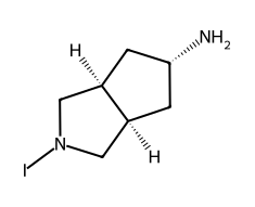 N[C@H]1C[C@@H]2CN(I)C[C@@H]2C1